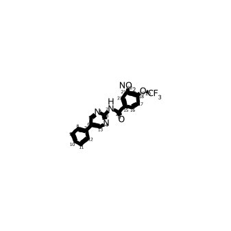 O=C(Nc1ncc(-c2ccccc2)cn1)c1ccc(OC(F)(F)F)c([N+](=O)[O-])c1